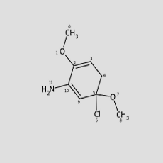 COC1=CCC(Cl)(OC)C=C1N